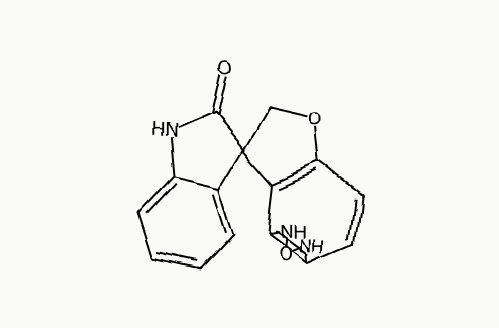 O=C1Nc2ccccc2C12COc1ccc3c(c12)NON3